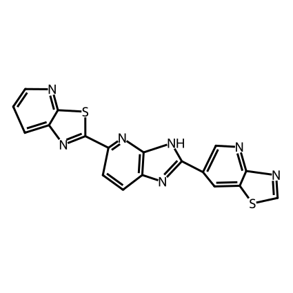 c1cnc2sc(-c3ccc4nc(-c5cnc6ncsc6c5)[nH]c4n3)nc2c1